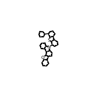 c1ccc(-c2cccc3c2sc2c(-n4c5ccccc5c5c6oc7ccccc7c6ccc54)cccc23)cc1